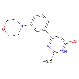 O=C(O)c1nc(-c2cccc(N3CCOCC3)c2)cc(=O)[nH]1